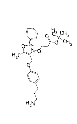 CC1=C(COc2ccc(CCCN)cc2)N(OCCC(=O)OC(C)(C)C)[C@H](c2ccccc2)O1